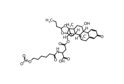 CCCC1O[C@@H]2C[C@H]3[C@@H]4CCC5=CC(=O)C=C[C@]5(C)[C@H]4[C@@H](O)C[C@]3(C)C2(C(=O)COC(=O)CC(NC(=O)CCCCCO[N+](=O)[O-])C(=O)O)O1